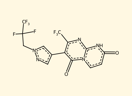 O=c1ccn2c(=O)c(-c3cnn(CC(F)(F)C(F)(F)F)c3)c(C(F)(F)F)nc2[nH]1